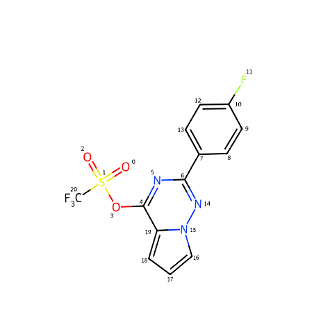 O=S(=O)(Oc1nc(-c2ccc(F)cc2)nn2cccc12)C(F)(F)F